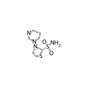 NS(=O)(=O)c1nccs1.c1cncnc1